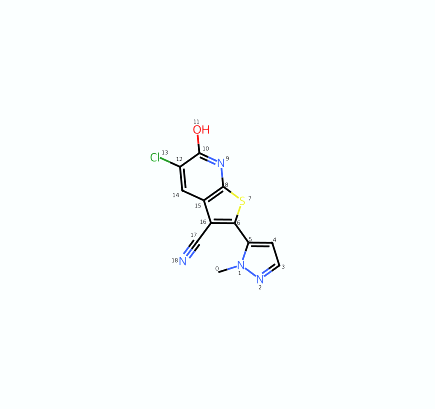 Cn1nccc1-c1sc2nc(O)c(Cl)cc2c1C#N